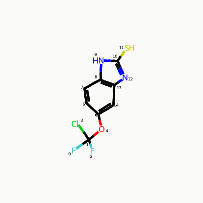 FC(F)(Cl)Oc1ccc2[nH]c(S)nc2c1